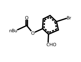 [CH2]CCCC(=O)Oc1ccc(Br)cc1C=O